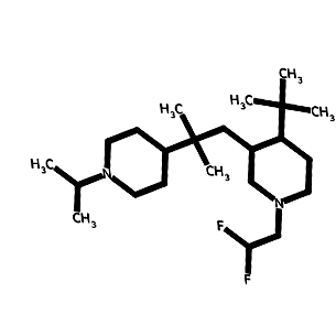 CC(C)N1CCC(C(C)(C)CC2CN(CC(F)F)CCC2C(C)(C)C)CC1